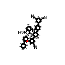 N#Cc1cc(C#N)cc(-c2ccc3c4ccc(-c5cc(C#N)cc(C#N)c5)cc4n(-c4cccc5c4C(=O)N(c4ccc(-c6ccccc6)cc4)C5O)c3c2)c1